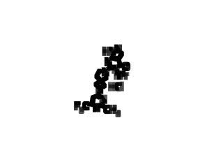 CCCn1c(N2CCC3(CN(c4cc(C(F)(F)F)nc(C)n4)C3)C2)nc2[nH]ncc2c1=O.Cl